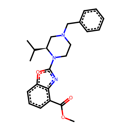 COC(=O)c1cccc2oc(N3CCN(Cc4ccccc4)C[C@@H]3C(C)C)nc12